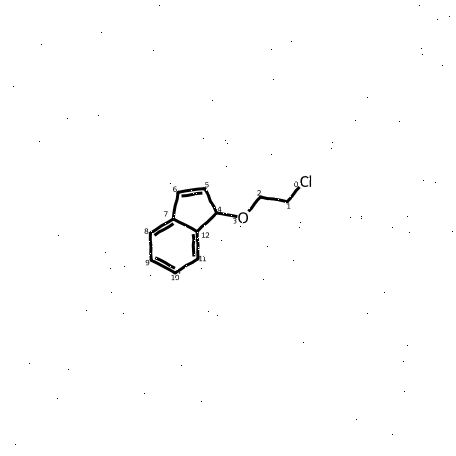 ClCCOC1C=Cc2cc[c]cc21